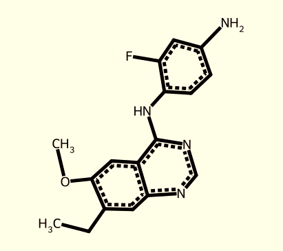 CCc1cc2ncnc(Nc3ccc(N)cc3F)c2cc1OC